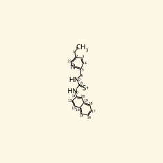 CCc1ccc(CNC(=S)Nc2ccc3ccccc3c2)nc1